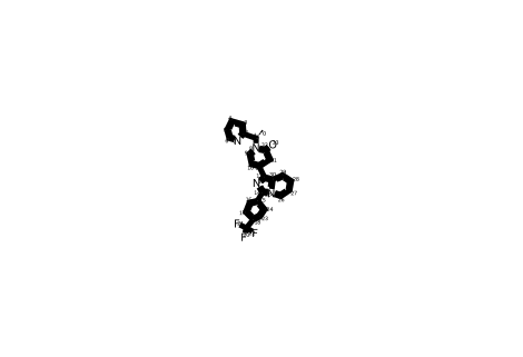 C[C@@H](c1ccccn1)n1ccc(-c2nc(-c3ccc(C(F)(F)F)cc3)n3ccccc23)cc1=O